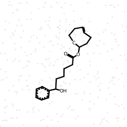 O=C(CCCCC(O)c1ccccc1)OC1CC/C=C/CCC1